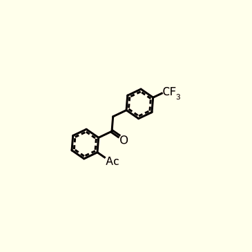 CC(=O)c1ccccc1C(=O)Cc1ccc(C(F)(F)F)cc1